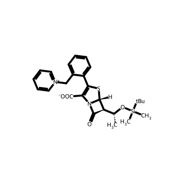 C[C@@H](O[Si](C)(C)C(C)(C)C)[C@H]1C(=O)N2C(C(=O)[O-])=C(c3ccccc3C[n+]3ccccc3)S[C@H]12